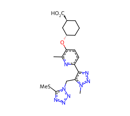 CSc1nnnn1Cc1c(-c2ccc(O[C@H]3CCC[C@H](C(=O)O)C3)c(C)n2)nnn1C